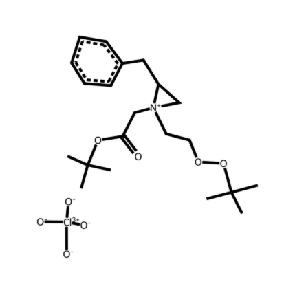 CC(C)(C)OOCC[N+]1(CC(=O)OC(C)(C)C)CC1Cc1ccccc1.[O-][Cl+3]([O-])([O-])[O-]